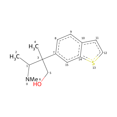 CNC(C)C(C)(CO)c1ccc2ccsc2c1